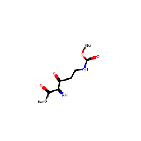 COC(=O)C(=N)C(=O)CCNC(=O)OC(C)(C)C